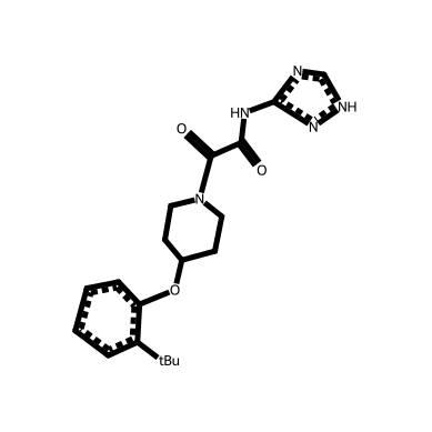 CC(C)(C)c1ccccc1OC1CCN(C(=O)C(=O)Nc2nc[nH]n2)CC1